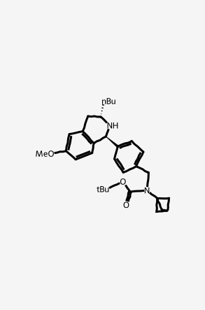 CCCC[C@H]1Cc2cc(OC)ccc2[C@H](c2ccc(CN(C(=O)OC(C)(C)C)C34CC(C3)C4)cc2)N1